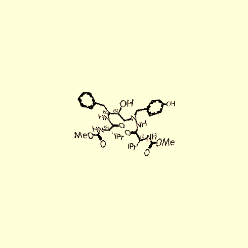 COC(=O)N[C@H](C(=O)N[C@@H](Cc1ccccc1)[C@@H](O)CN(Cc1ccc(O)cc1)NC(=O)[C@@H](NC(=O)OC)C(C)C)C(C)C